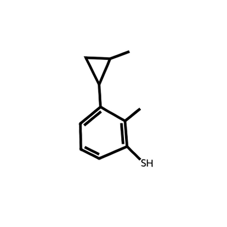 Cc1c(S)cccc1C1CC1C